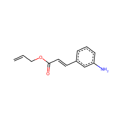 C=CCOC(=O)C=Cc1cccc(N)c1